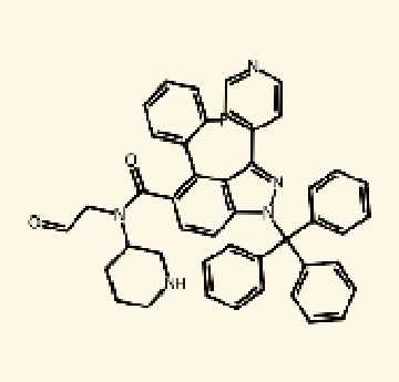 O=CCN(C(=O)c1ccc2c(c(-c3ccncc3)nn2C(c2ccccc2)(c2ccccc2)c2ccccc2)c1-c1ccccc1F)C1CCCNC1